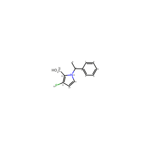 CC(c1ccccc1)n1ccc(F)c1C(=O)O